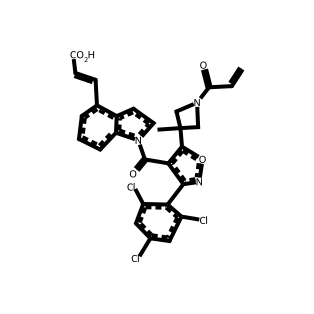 C=CC(=O)N1CC(C)(c2onc(-c3c(Cl)cc(Cl)cc3Cl)c2C(=O)n2ccc3c(/C=C/C(=O)O)cccc32)C1